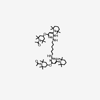 CC(=O)N1C(C)(C)CC(OC2=NN(NCCCCCCNN3N=C(OC4CC(C)(C)N(C(C)=O)C(C)(C)C4)C=C(N4C(C)(C)CCCC4(C)C)N3)NC(N3C(C)(C)CCCC3(C)C)=C2)CC1(C)C